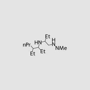 CCCC(CC)C(CC)NC(CC)CNNC